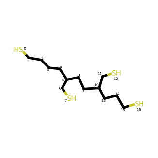 SCCCCC(CS)CCC(CS)CCCS